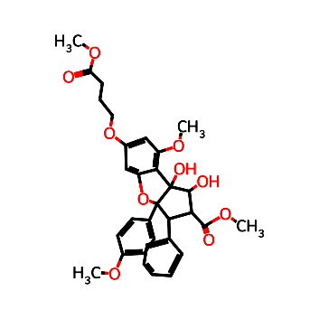 COC(=O)CCCOc1cc(OC)c2c(c1)OC1(c3ccc(OC)cc3)C(c3ccccc3)C(C(=O)OC)C(O)C21O